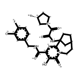 O=C(NC12CCC(CCn3c1nc(C(=O)NCc1ccc(F)c(Cl)c1)c(O)c3=O)C2)C(=O)N1CC[C@@H](F)C1